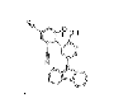 N#Cc1cc(O)c(-c2cc(-n3c4ccccc4c4ccccc43)ccc2O)c(C#N)c1